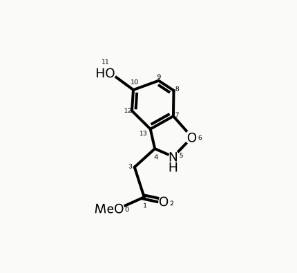 COC(=O)CC1NOc2ccc(O)cc21